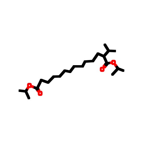 CC(C)OC(=O)CCCCCCCCCCCC(C(=O)OC(C)C)C(C)C